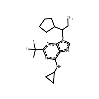 CCC(C1CCCC1)n1cnc2c(NC3CC3)nc(C(F)(F)F)nc21